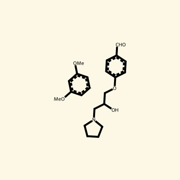 COc1c[c]cc(OC)c1.O=Cc1ccc(OCC(O)CN2CCCC2)cc1